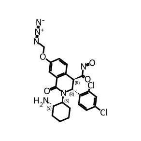 [N-]=[N+]=NCOc1ccc2c(c1)C(=O)N([C@H]1CCCC[C@@H]1N)[C@@H](c1ccc(Cl)cc1Cl)[C@@H]2C(=O)N=O